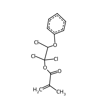 C=C(C)C(=O)OC(Cl)(Cl)C(Cl)Oc1ccccc1